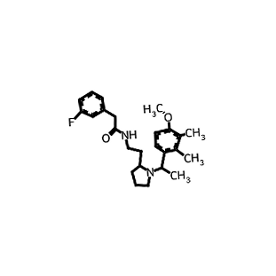 COc1ccc(C(C)N2CCCC2CCNC(=O)Cc2cccc(F)c2)c(C)c1C